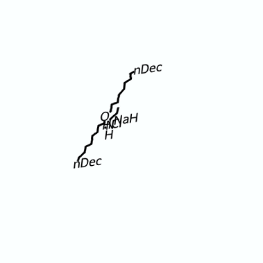 CCCCCCCCCCCCCCCCCCOCCCCCCCCCCCCCCCCCC.CCCNC.Cl.[NaH]